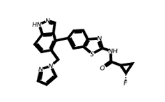 O=C(Nc1nc2ccc(-c3c(Cn4cccn4)ccc4[nH]ncc34)cc2s1)C1C[C@@H]1F